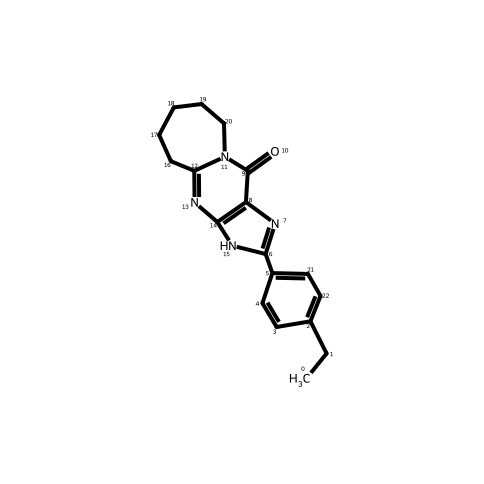 CCc1ccc(-c2nc3c(=O)n4c(nc3[nH]2)CCCCC4)cc1